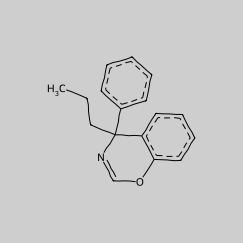 CCCC1(c2ccccc2)N=COc2ccccc21